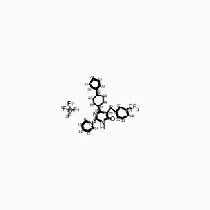 F[B-](F)(F)F.O=c1[nH]c(-[n+]2ccccc2)nc(C2CCC(c3ccccc3)CC2)c1Cc1cccc(C(F)(F)F)c1